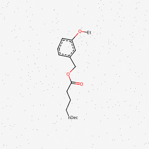 CCCCCCCCCCCCCC(=O)OCc1cccc(OCC)c1